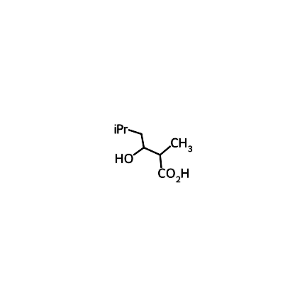 CC(C)CC(O)C(C)C(=O)O